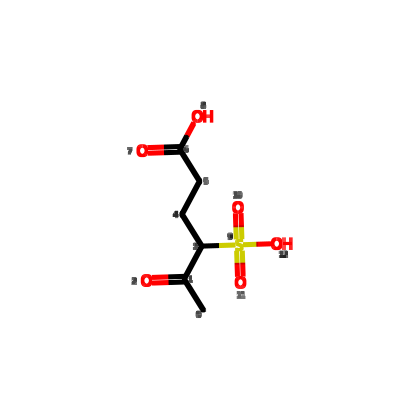 CC(=O)C(CCC(=O)O)S(=O)(=O)O